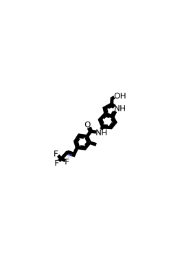 Cc1cc(/C=C/C(F)(F)F)ccc1C(=O)Nc1ccc2[nH]c(CO)cc2c1